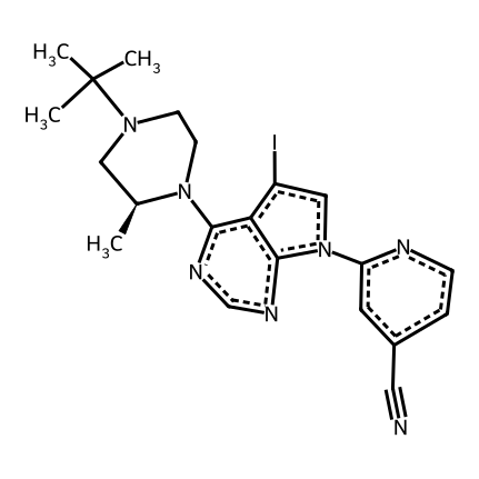 C[C@H]1CN(C(C)(C)C)CCN1c1ncnc2c1c(I)cn2-c1cc(C#N)ccn1